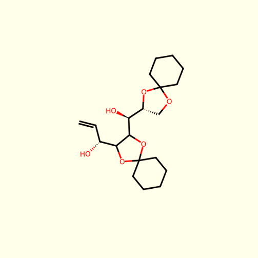 C=C[C@@H](O)C1OC2(CCCCC2)OC1[C@@H](O)[C@H]1COC2(CCCCC2)O1